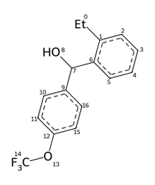 CCc1ccccc1C(O)c1ccc(OC(F)(F)F)cc1